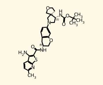 Cc1ccc2c(N)c(C(=O)N[C@H]3COc4cc(N5C[C@@H](NC(=O)OC(C)(C)C)[C@@]6(CCOC6)C5)ccc4C3)sc2n1